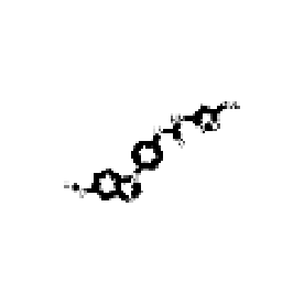 CCOc1ccc2c(c1)ncn2-c1ccc(NC(=O)Nc2cc(C(C)(C)C)on2)cc1